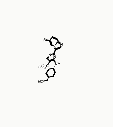 N#CC[C@H]1CC[C@H](Nc2nc(-c3cnc4ccc(F)cn34)ncc2C(=O)O)CC1